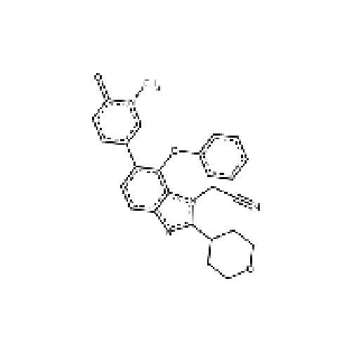 Cn1cc(-c2ccc3nc(C4CCOCC4)n(CC#N)c3c2Oc2ccccc2)ccc1=O